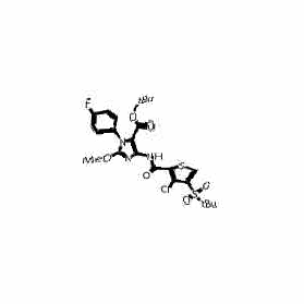 COc1nc(NC(=O)c2scc(S(=O)(=O)C(C)(C)C)c2Cl)c(C(=O)OC(C)(C)C)n1-c1ccc(F)cc1